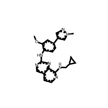 COc1cc(-c2cnn(C)c2)ccc1Nc1ncc2ccnc(NCC3CC3)c2n1